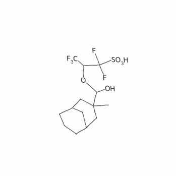 CC1(C(O)OC(C(F)(F)F)C(F)(F)S(=O)(=O)O)CC2CCCC(C2)C1